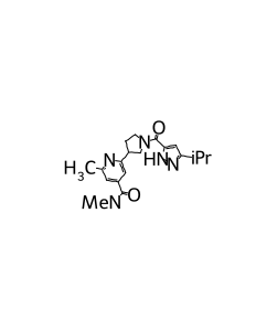 CNC(=O)c1cc(C)nc(C2CCN(C(=O)c3cc(C(C)C)n[nH]3)C2)c1